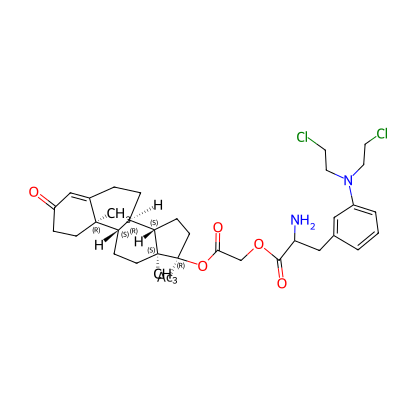 CC(=O)[C@@]1(OC(=O)COC(=O)C(N)Cc2cccc(N(CCCl)CCCl)c2)CC[C@H]2[C@@H]3CCC4=CC(=O)CC[C@]4(C)[C@H]3CC[C@@]21C